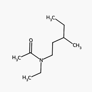 CCC(C)CCN(CC)C(C)=O